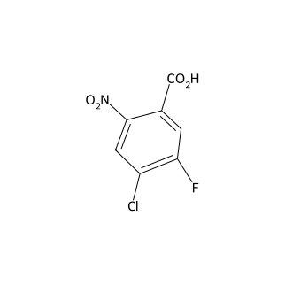 O=C(O)c1cc(F)c(Cl)cc1[N+](=O)[O-]